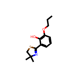 CCCOc1cccc(C2=NC(C)(C)CS2)c1O